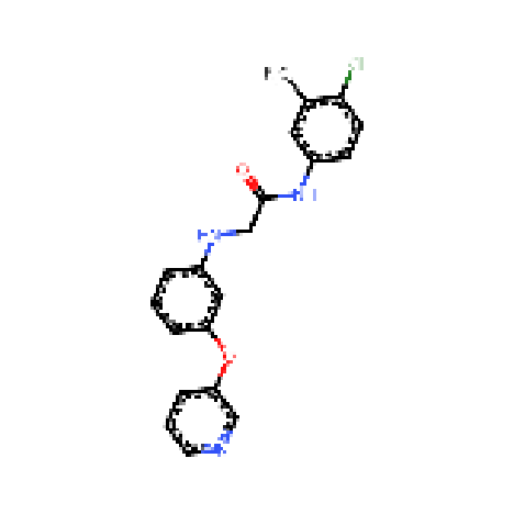 O=C(CNc1cccc(Oc2cccnc2)c1)Nc1ccc(Cl)c(C(F)(F)F)c1